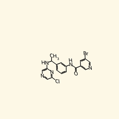 CC(Nc1cncc(Cl)n1)c1cccc(NC(=O)c2cncc(Br)c2)c1